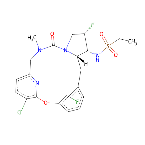 CCS(=O)(=O)N[C@H]1[C@@H](F)CN2C(=O)N(C)Cc3ccc(Cl)c(n3)Oc3cccc(c3F)C[C@@H]12